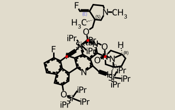 CC(C)[Si](C#Cc1c(F)ccc2cc(O[Si](C(C)C)(C(C)C)C(C)C)cc(-c3nc(C#C[Si](C(C)C)(C(C)C)C(C)C)c4c(N5C[C@H]6CC[C@@H](C5)N6C(=O)OC(C)(C)C)nc(OC[C@]5(C)CN(C)CC/C5=C\F)nc4c3F)c12)(C(C)C)C(C)C